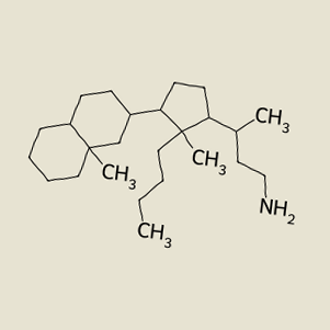 CCCCC1(C)C(C(C)CCN)CCC1C1CCC2CCCCC2(C)C1